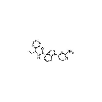 CCC(NC(=O)c1cccc2c1ccn2-c1ccnc(N)n1)c1ccccc1